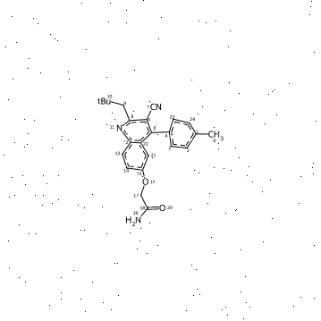 Cc1ccc(-c2c(C#N)c(CC(C)(C)C)nc3ccc(OCC(N)=O)cc23)cc1